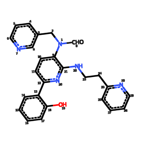 O=CN(Cc1cccnc1)c1ccc(-c2ccccc2O)nc1NCCc1ccccn1